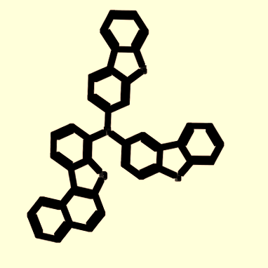 c1ccc2c(c1)ccc1oc3c(N(c4ccc5c(c4)sc4ccccc45)c4ccc5sc6ccccc6c5c4)cccc3c12